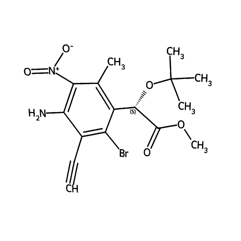 C#Cc1c(N)c([N+](=O)[O-])c(C)c([C@H](OC(C)(C)C)C(=O)OC)c1Br